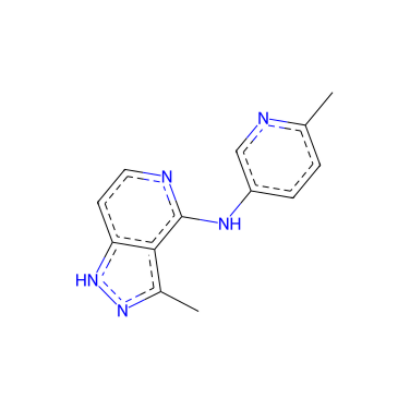 Cc1ccc(Nc2nccc3[nH]nc(C)c23)cn1